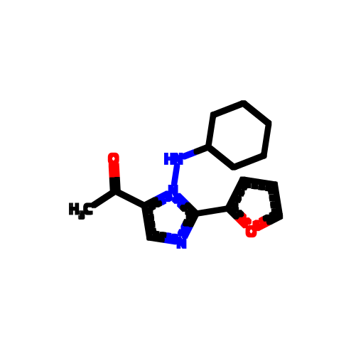 CC(=O)c1cnc(-c2ccco2)n1NC1CCCCC1